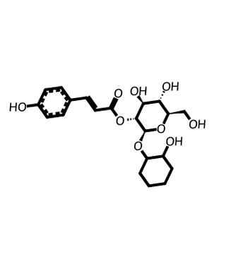 O=C(/C=C/c1ccc(O)cc1)O[C@H]1[C@H](OC2CCCCC2O)O[C@H](CO)[C@@H](O)[C@@H]1O